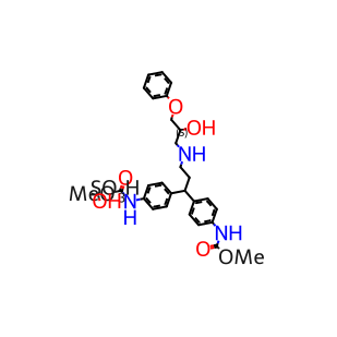 COC(=O)Nc1ccc(C(CCNC[C@H](O)COc2ccccc2)c2ccc(NC(=O)OC)cc2)cc1.O=S(=O)(O)O